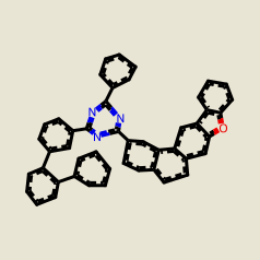 c1ccc(-c2nc(-c3cccc(-c4ccccc4-c4ccccc4)c3)nc(-c3ccc4ccc5cc6oc7ccccc7c6cc5c4c3)n2)cc1